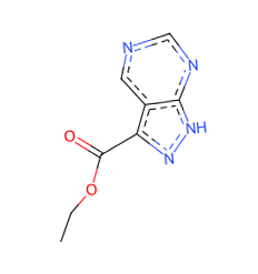 CCOC(=O)c1n[nH]c2ncncc12